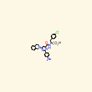 CN(C)c1ccc(-c2nc(C(=O)NC(Cc3ccc(Cl)cc3)C(=O)O)cc(N3CCc4ccccc4C3)n2)cc1